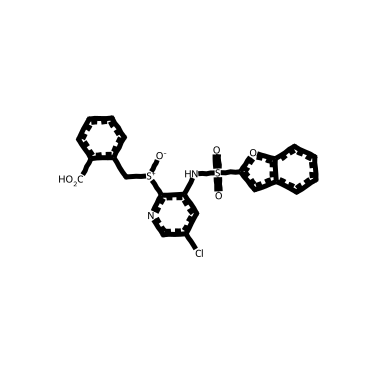 O=C(O)c1ccccc1C[S+]([O-])c1ncc(Cl)cc1NS(=O)(=O)c1cc2ccccc2o1